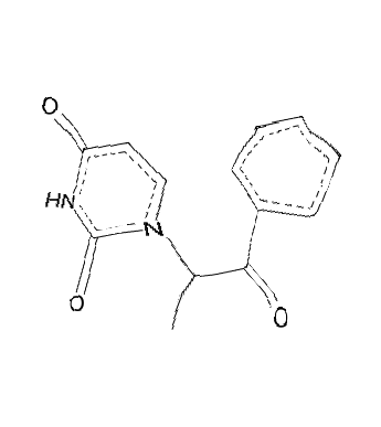 CC(C(=O)c1ccccc1)n1ccc(=O)[nH]c1=O